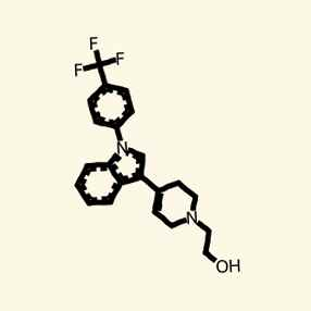 OCCN1CC=C(c2cn(-c3ccc(C(F)(F)F)cc3)c3ccccc23)CC1